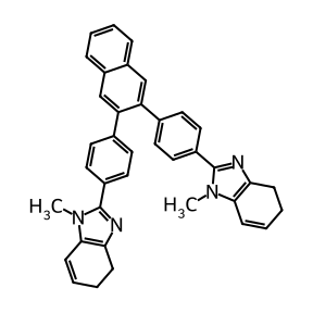 Cn1c(-c2ccc(-c3cc4ccccc4cc3-c3ccc(-c4nc5c(n4C)C=CCC5)cc3)cc2)nc2c1C=CCC2